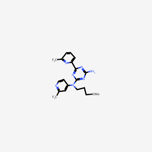 COCCCN(c1ccnc(C(F)(F)F)c1)c1nc(N)nc(-c2cccc(C(F)(F)F)n2)n1